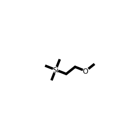 COCC[Si](C)(C)C